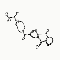 CCC(N1CCN(C(=O)c2ccc3c(c2)C(=O)c2ccccc2C3=O)CC1)[SH](=O)=O